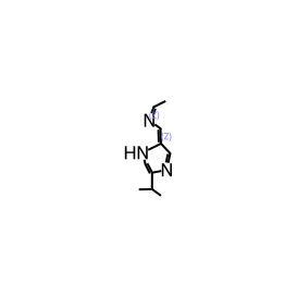 C/C=N\C=C1\C=NC(C(C)C)=CN1